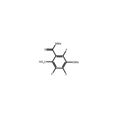 CNC(=O)c1c(F)c(OC)c(F)c(F)c1C(=O)O